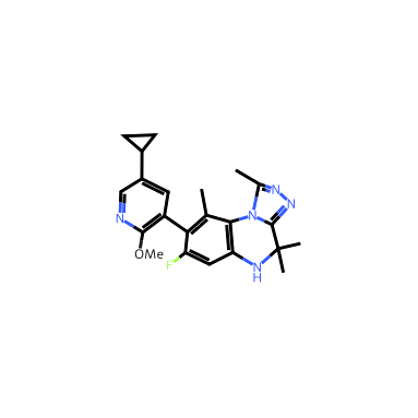 COc1ncc(C2CC2)cc1-c1c(F)cc2c(c1C)-n1c(C)nnc1C(C)(C)N2